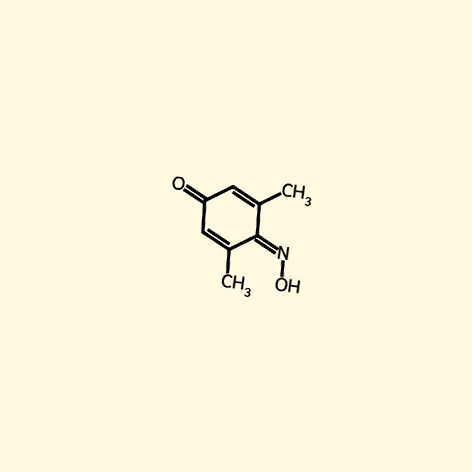 CC1=CC(=O)C=C(C)C1=NO